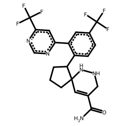 NC(=O)C1=CC2(CCCC2c2ccc(C(F)(F)F)cc2-c2cc(C(F)(F)F)ncn2)NNC1